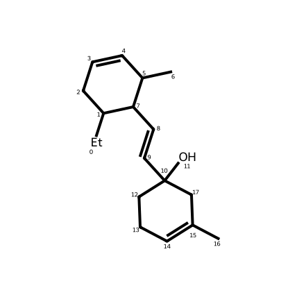 CCC1CC=CC(C)C1C=CC1(O)CCC=C(C)C1